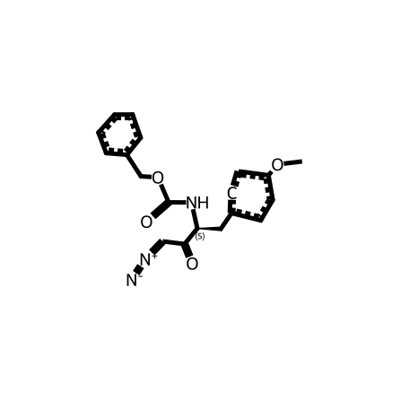 COc1ccc(C[C@H](NC(=O)OCc2ccccc2)C(=O)C=[N+]=[N-])cc1